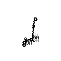 O=C(OCc1ccc(O)c(C(O)CNCCCCCCOCCCCc2ccccc2)c1)c1ccc2ccccc2c1O